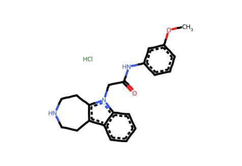 COc1cccc(NC(=O)Cn2c3c(c4ccccc42)CCNCC3)c1.Cl